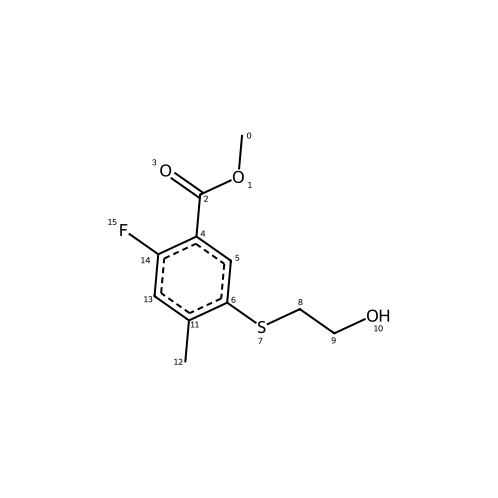 COC(=O)c1cc(SCCO)c(C)cc1F